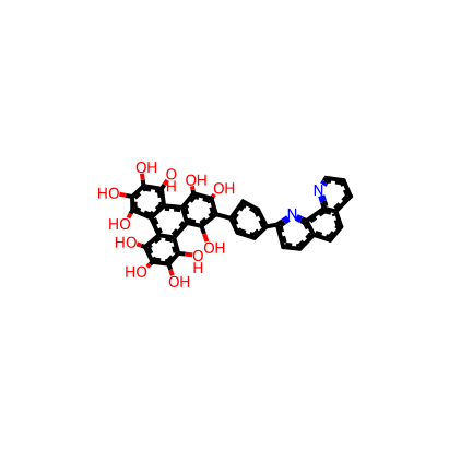 Oc1c(O)c(O)c2c(c1O)c1c(O)c(O)c(O)c(O)c1c1c(O)c(-c3ccc(-c4ccc5ccc6cccnc6c5n4)cc3)c(O)c(O)c21